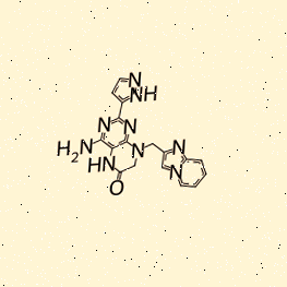 Nc1nc(-c2ccn[nH]2)nc2c1NC(=O)CN2Cc1cn2ccccc2n1